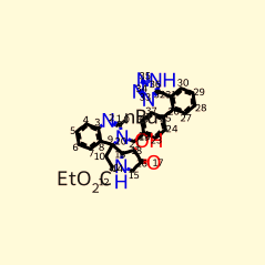 CCCCC1=Nc2ccccc2C(CCC(=O)OCC)(C2NCC(=O)C2O)N1Cc1ccc(-c2ccccc2-c2nnn[nH]2)cc1